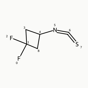 FC1(F)CC(N=C=S)C1